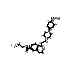 C=CCNC(=O)c1ccc2c(c1)CCOC2CCN1CCN(c2ccc(OC)cc2)CC1